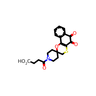 O=C(O)CCC(=O)N1CCC2(CC1)CSC1=C(O2)c2ccccc2C(=O)C1=O